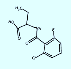 CCC(NC(=O)c1c(F)cccc1Cl)C(=O)O